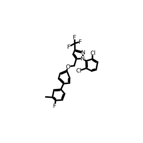 Cc1cc(-c2ccc(OCc3cc(C(F)(F)F)nn3-c3c(Cl)cccc3Cl)cc2)ccc1F